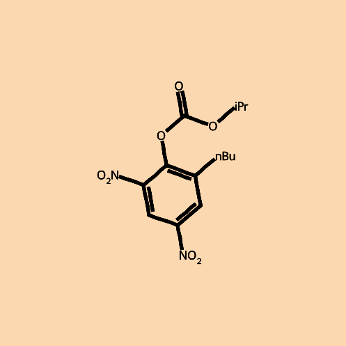 CCCCc1cc([N+](=O)[O-])cc([N+](=O)[O-])c1OC(=O)OC(C)C